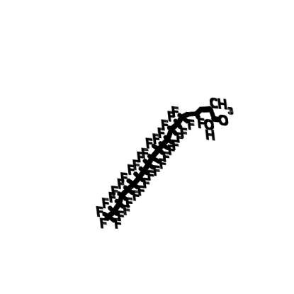 CC(=CC(F)CC(F)(F)C(F)(F)C(F)(F)C(F)(F)C(F)(F)C(F)(F)C(F)(F)C(F)(F)C(F)(F)C(F)(F)C(F)(F)C(F)(F)C(F)(F)C(F)(F)C(F)(F)C(F)(F)F)C(=O)O